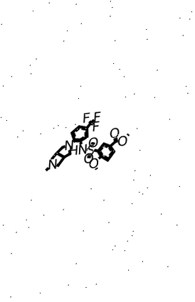 COC(=O)c1ccc(OC)c(S(=O)(=O)Nc2cc(C(F)(F)F)ccc2N2CC3CN(C)CC3C2)c1